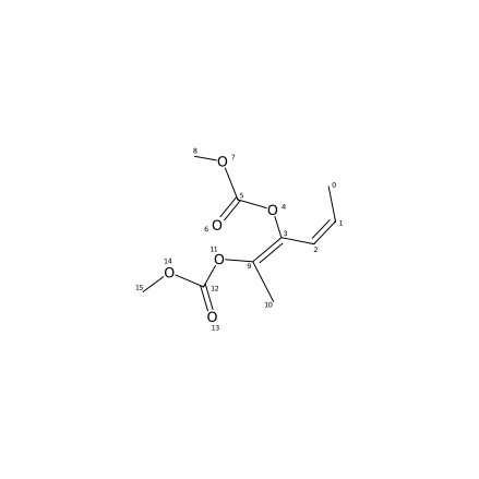 C/C=C\C(OC(=O)OC)=C(/C)OC(=O)OC